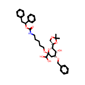 CC1(C)OC[C@H]([C@H]2O[C@@](OCCCCCNC(=O)OC(Cc3ccccc3)c3ccccc3)(C(O)O)C[C@@H](OCc3ccccc3)[C@H]2O)O1